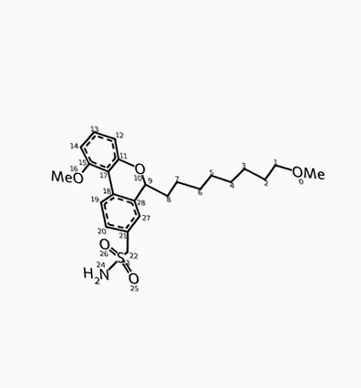 COCCCCCCCCC1Oc2cccc(OC)c2-c2ccc(CS(N)(=O)=O)cc21